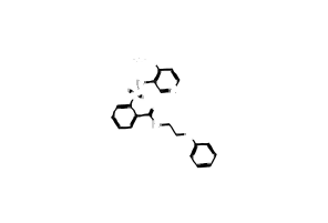 COc1ccncc1NS(=O)(=O)c1ccccc1C(=O)NCCOc1ccccc1